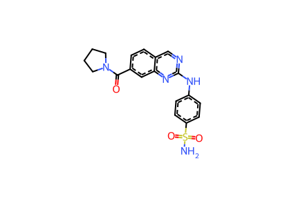 NS(=O)(=O)c1ccc(Nc2ncc3ccc(C(=O)N4CCCC4)cc3n2)cc1